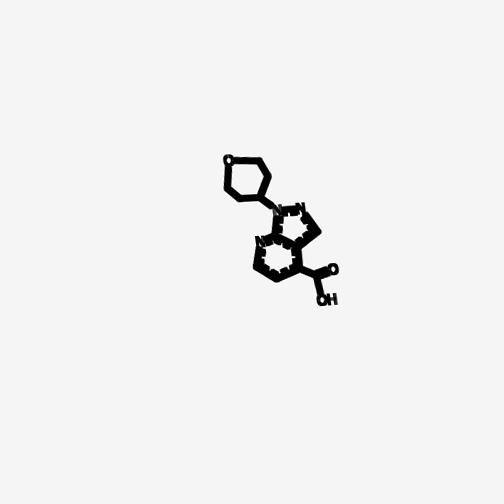 O=C(O)c1ccnc2c1cnn2C1CCOCC1